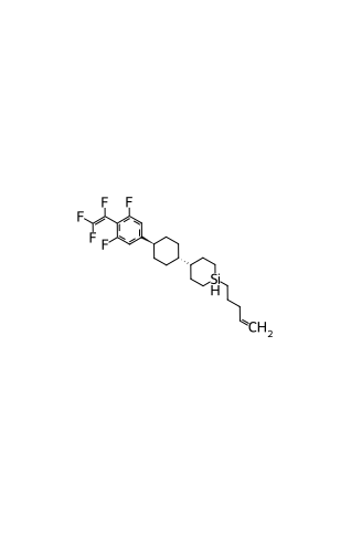 C=CCCC[SiH]1CCC([C@H]2CC[C@H](c3cc(F)c(C(F)=C(F)F)c(F)c3)CC2)CC1